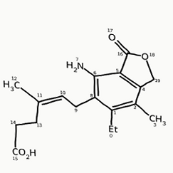 CCc1c(C)c2c(c(N)c1CC=C(C)CCC(=O)O)C(=O)OC2